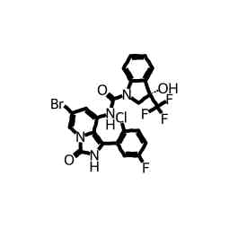 O=C(Nc1cc(Br)cn2c(=O)[nH]c(-c3cc(F)ccc3Cl)c12)N1C[C@](O)(C(F)(F)F)c2ccccc21